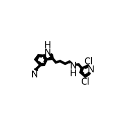 N#Cc1ccc2[nH]cc(CCCCNCc3cc(Cl)cnc3Cl)c2c1